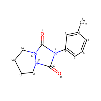 O=c1n(-c2cccc(C(F)(F)F)c2)c(=O)n2n1CCCC2